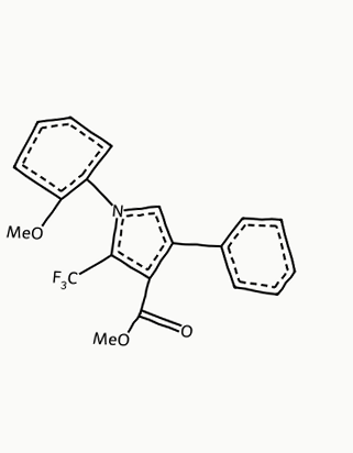 COC(=O)c1c(-c2ccccc2)cn(-c2ccccc2OC)c1C(F)(F)F